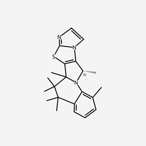 Cc1cccc2c1N1[C@@H](C)c3c(sc4nccn34)C1(C)C(C)(C)C2(C)C